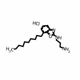 CCCCCCCCCCc1cccc2nc(NCCCN)oc12.Cl